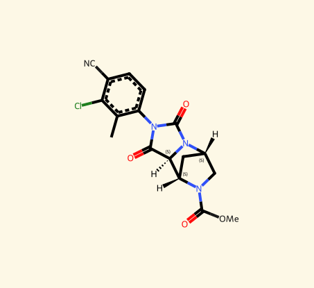 COC(=O)N1C[C@@H]2C[C@H]1[C@H]1C(=O)N(c3ccc(C#N)c(Cl)c3C)C(=O)N21